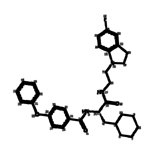 O=C(N[C@@H](CC1CCCCC1)C(=O)NCCN1CCc2cc(F)ccc21)c1ccc(Oc2ccccc2)cc1